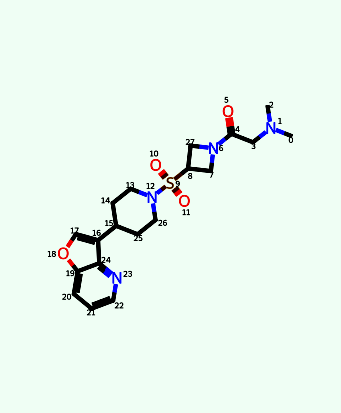 CN(C)CC(=O)N1CC(S(=O)(=O)N2CCC(c3coc4cccnc34)CC2)C1